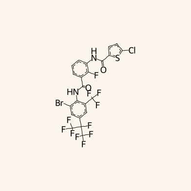 O=C(Nc1cccc(C(=O)Nc2c(Br)cc(C(F)(C(F)(F)F)C(F)(F)F)cc2C(F)(F)F)c1F)c1ccc(Cl)s1